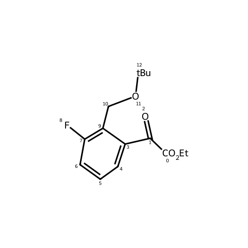 CCOC(=O)C(=O)c1cccc(F)c1COC(C)(C)C